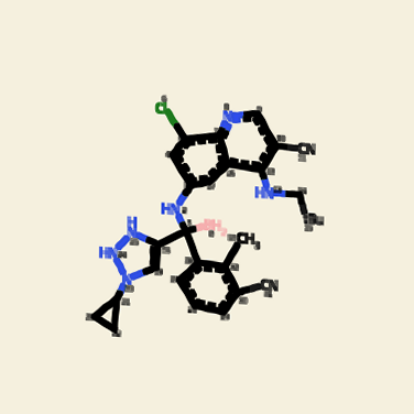 BC(Nc1cc(Cl)c2ncc(C#N)c(NCC(C)(C)C)c2c1)(C1=CN(C2CC2)NN1)c1cccc(C#N)c1C